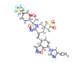 Cc1cn(-c2ccc(/C=C3\CC4(CN5C3=NOC5(CO)c3ccc(S(F)(F)(F)(F)F)cc3)CS(=O)(=O)C4)c3cnoc23)cn1